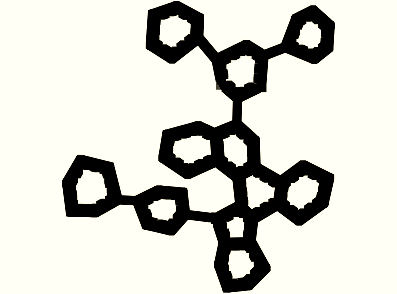 c1ccc(-c2ccc(-n3c4ccccc4c4c5ccccc5c5cc(-c6nc(-c7ccccc7)cc(-c7ccccc7)n6)c6ccccc6c5c43)cc2)cc1